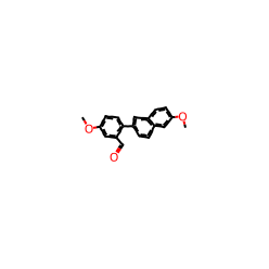 COc1ccc(-c2ccc3cc(OC)ccc3c2)c(C=O)c1